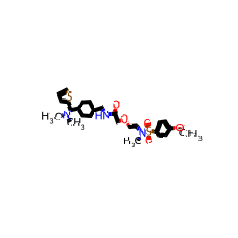 COc1ccc(S(=O)(=O)N(C)CCOCC(=O)NCC2CCC(C(c3cccs3)N(C)C)CC2)cc1